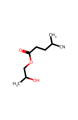 CC(O)COC(=O)CCC(C)C#N